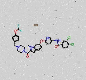 Br.Cn1c(C(=O)N2CCN(Cc3ccc(OC(F)F)cc3)CC2)cc2ccc(Oc3ccc(NC(=O)c4ccc(Cl)c(Cl)c4)cn3)cc21